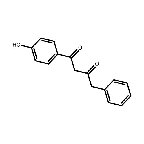 O=C(CC(=O)c1ccc(O)cc1)Cc1ccccc1